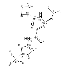 CC(C)C[C@@H](C=CC(=O)Nc1nnc(C(F)(F)F)s1)NC(=O)[C@@H]1CCN1